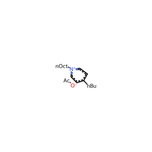 CC(=O)[O-].CCCCCCCC[n+]1ccc(CCCC)cc1